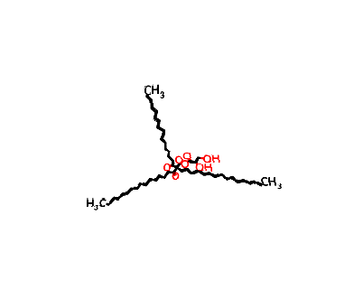 CCCCCCCCCCCCCCCCC(C(=O)CCCCCCCCCCCCCCC)(C(=O)CCCCCCCCCCCCCCC)C(=O)OC(=O)C(O)CO